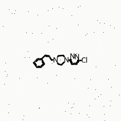 Clc1ccc(N2CCN(C/C=C\c3ccccc3)CC2)nn1